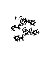 Cc1nc(NCc2cccnc2)cc(OCC2CC2c2ccccn2)n1.Cc1nc(NCc2ccncc2)cc(OCC2CC2c2ccccn2)n1